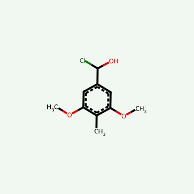 COc1cc(C(O)Cl)cc(OC)c1C